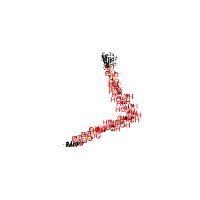 O.O.O=S(=O)([O-])[O-].O=S(=O)([O-])[O-].O=S(=O)([O-])[O-].O=S(=O)([O-])[O-].O=S(=O)([O-])[O-].O[B-](O)(O)O.O[B-](O)(O)O.O[B-](O)(O)O.O[B-](O)(O)O.O[B-](O)(O)O.[Al+3].[Al+3].[Ca+2].[Ca+2].[Fe+3].[Fe+3].[Mn+2].[Mn+2].[OH-].[OH-].[OH-].[OH-].[OH-]